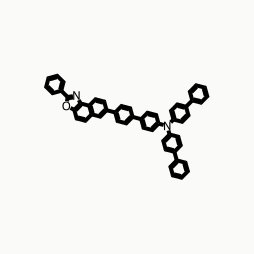 c1ccc(-c2ccc(N(c3ccc(-c4ccccc4)cc3)c3ccc(-c4ccc(-c5ccc6c(ccc7oc(-c8ccccc8)nc76)c5)cc4)cc3)cc2)cc1